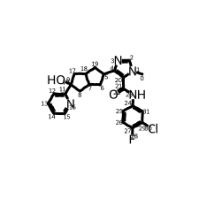 Cn1cnc(C2CC3CC(O)(c4ccccn4)CC3C2)c1C(=O)Nc1ccc(F)c(Cl)c1